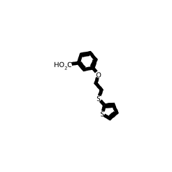 O=C(O)c1cccc(OCCSc2cccs2)c1